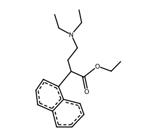 CCOC(=O)C(CCN(CC)CC)c1cccc2ccccc12